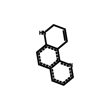 C1=Cc2c(ccc3cccnc23)NC1